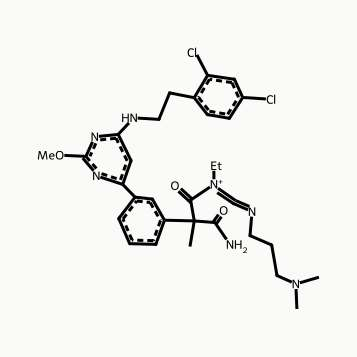 CC[N+](=C=NCCCN(C)C)C(=O)C(C)(C(N)=O)c1cccc(-c2cc(NCCc3ccc(Cl)cc3Cl)nc(OC)n2)c1